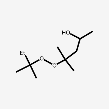 CCC(C)(C)OOC(C)(C)CC(C)O